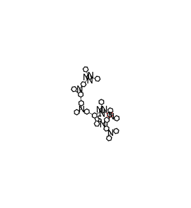 c1ccc(-c2nc(-c3ccccc3)nc(-c3ccc(-n4c5ccccc5c5cc(-c6ccc(N(c7ccccc7)c7ccc(-c8cc(-c9nc(-c%10ccccc%10)nc(-c%10ccccc%10)n9)c9sc%10c(-n%11c%12ccc(N(c%13ccccc%13)c%13ccccc%13)cc%12c%12cc(N(c%13ccccc%13)c%13ccccc%13)ccc%12%11)cccc%10c9c8)cc7)cc6)ccc54)cc3)n2)cc1